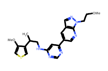 COCCn1ncc2cc(-c3cc(NCC(C)c4cscc4OC)ncn3)cnc21